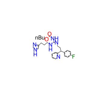 CCCCOC(=O)NC(=NCCC(c1ccc(F)cc1)c1ccccn1)NCCCc1c[nH]cn1